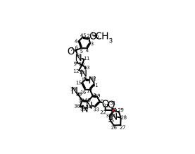 COc1ccc(C(=O)N2CC3(C2)CN(c2ccc(-c4cc(OCCN5C6CCC5CC(=O)C6)cn5ncc(C#N)c45)cn2)C3)cc1